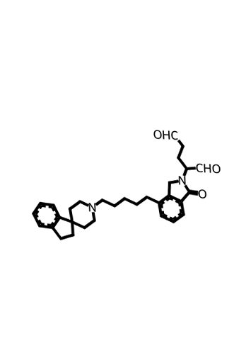 O=CCCC(C=O)N1Cc2c(CCCCCN3CCC4(CCc5ccccc54)CC3)cccc2C1=O